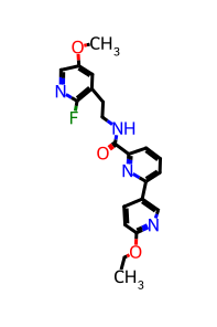 CCOc1ccc(-c2cccc(C(=O)NCCc3cc(OC)cnc3F)n2)cn1